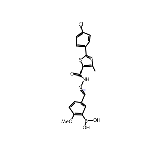 COc1ccc(/C=N/NC(=O)c2sc(-c3ccc(Cl)cc3)nc2C)cc1B(O)O